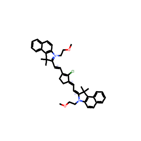 COCCN1/C(=C/C=C2\CCC(/C=C/C3=[N+](CCOC)c4ccc5ccccc5c4C3(C)C)=C2Cl)C(C)(C)c2c1ccc1ccccc21